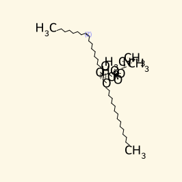 CCCCCCCC/C=C\CCCCCCCC(=O)O[C@H](COCCCCCCCCCCCCCCCCC)COP(=O)(O)OCC[N+](C)(C)C